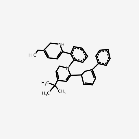 CCC1=CC=C(c2ccccc2N2CC=C(C(C)(C)C)C=C2C2C=CC=C(c3ccccc3)C2)NC1